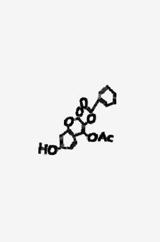 CC(=O)Oc1c(OC(=O)c2ccccc2)c(=O)oc2cc(O)ccc12